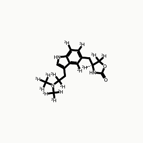 [2H]c1c(C[C@]2([2H])NC(=O)OC2([2H])[2H])c([2H])c2c(CC([2H])([2H])N(C([2H])([2H])[2H])C([2H])([2H])[2H])c[nH]c2c1[2H]